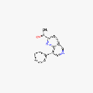 CC(=O)c1ccc2cncc(-c3ccccc3)c2n1